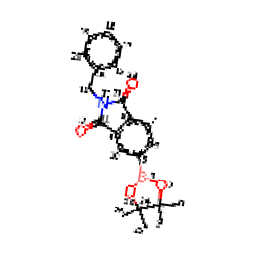 CC1(C)OB(c2ccc3c(c2)C(=O)N(Cc2ccccc2)C3=O)OC1(C)C